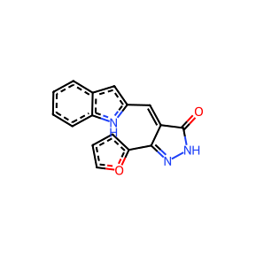 O=C1NN=C(c2ccco2)/C1=C\c1cc2ccccc2[nH]1